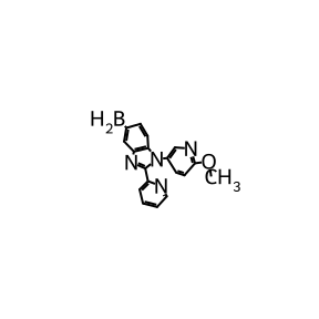 Bc1ccc2c(c1)nc(-c1ccccn1)n2-c1ccc(OC)nc1